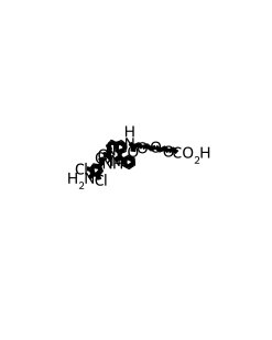 Nc1c(Cl)cc(C(=O)N[C@@H]2N=C(c3ccccc3)c3cc(NC(=O)COCCOCCOCC(=O)O)cc4c3N(CC4)C2=O)cc1Cl